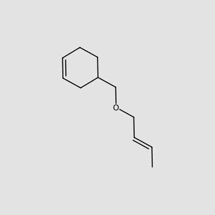 CC=CCOCC1CC=CCC1